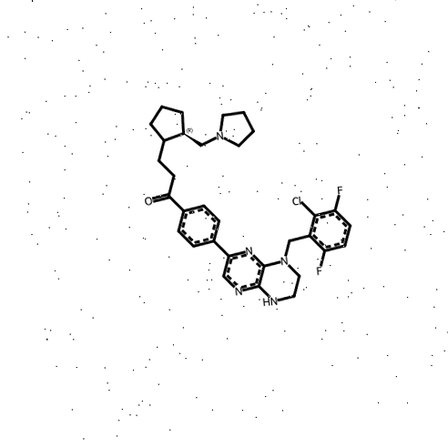 O=C(CCC1CCC[C@H]1CN1CCCC1)c1ccc(-c2cnc3c(n2)N(Cc2c(F)ccc(F)c2Cl)CCN3)cc1